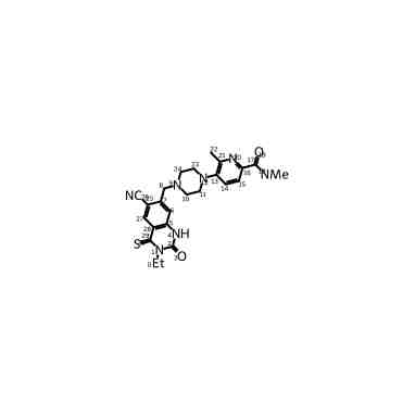 CCn1c(=O)[nH]c2cc(CN3CCN(c4ccc(C(=O)NC)nc4C)CC3)c(C#N)cc2c1=S